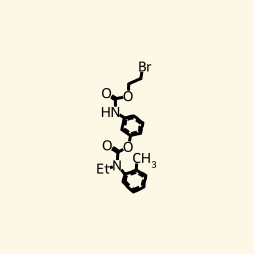 CCN(C(=O)Oc1cccc(NC(=O)OCCBr)c1)c1ccccc1C